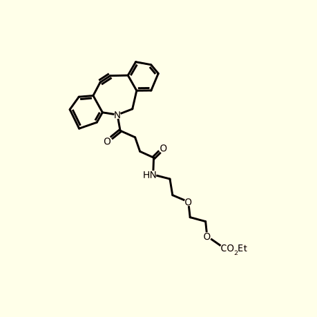 CCOC(=O)OCCOCCNC(=O)CCC(=O)N1Cc2ccccc2C#Cc2ccccc21